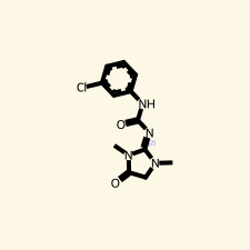 CN1CC(=O)N(C)/C1=N\C(=O)Nc1cccc(Cl)c1